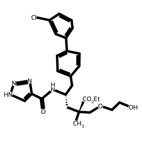 CCOC(=O)[C@](C)(COCCO)C[C@@H](Cc1ccc(-c2cccc(Cl)c2)cc1)NC(=O)c1c[nH]nn1